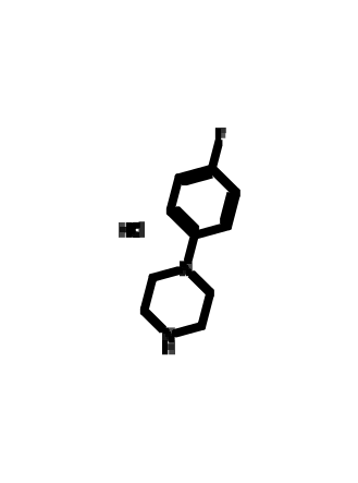 Cl.Fc1ccc(N2CCNCC2)cc1